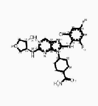 NC(=O)C1CCC(n2c(Nc3c(F)cc(F)cc3Cl)nc3cnc(N[C@H]4COC[C@@H]4O)nc32)CC1